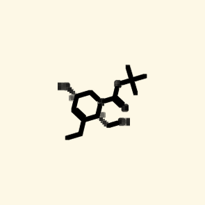 CCC1=C[C@H](O)CN(C(=O)OC(C)(C)C)[C@@H]1CO